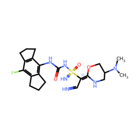 CN(C)C1CN/C(=C(\C=N)S(=N)(=O)NC(=O)Nc2c3c(c(F)c4c2CCC4)CCC3)OC1